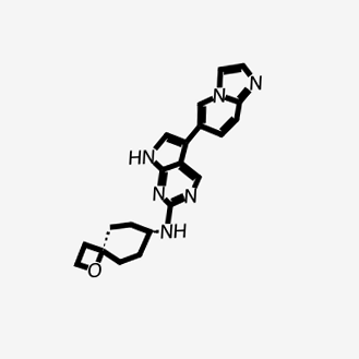 c1cn2cc(-c3c[nH]c4nc(N[C@H]5CC[C@]6(CCO6)CC5)ncc34)ccc2n1